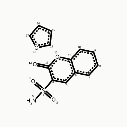 NS(=O)(=O)c1cc2ccccc2oc1=O.c1ccoc1